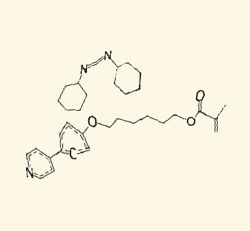 C(=NC1CCCCC1)=NC1CCCCC1.C=C(C)C(=O)OCCCCCCOc1ccc(-c2ccncc2)cc1